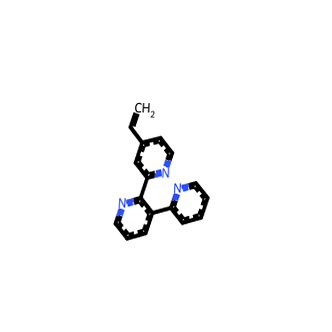 C=Cc1ccnc(-c2ncccc2-c2ccccn2)c1